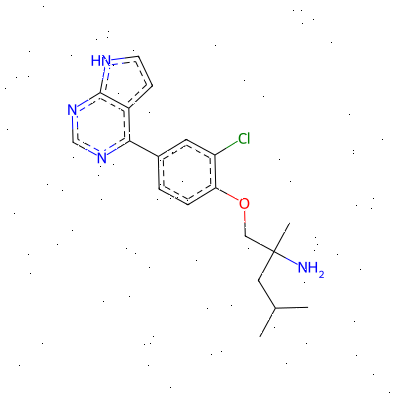 CC(C)CC(C)(N)COc1ccc(-c2ncnc3[nH]ccc23)cc1Cl